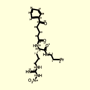 CC(C)C[CH]NC(=O)[C@H](CCCNC(=N)N[N+](=O)[O-])NC(=O)CCCC(=O)c1ccccc1